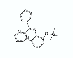 Cc1cccc(O[Si](C)(C)C)c1N=C(c1ccccc1)c1ncccn1